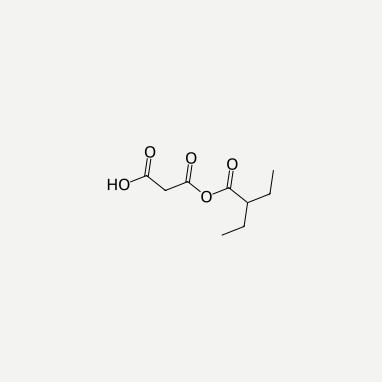 CCC(CC)C(=O)OC(=O)CC(=O)O